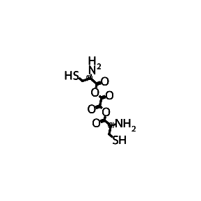 N[C@@H](CS)C(=O)OC(=O)C(=O)OC(=O)[C@@H](N)CS